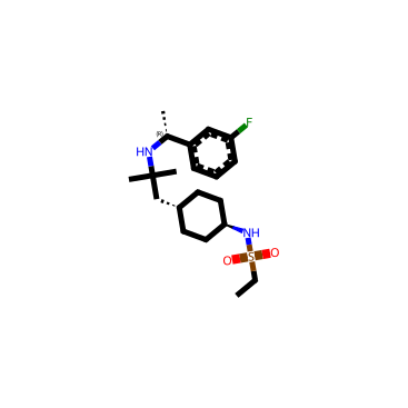 CCS(=O)(=O)N[C@H]1CC[C@H](CC(C)(C)N[C@H](C)c2cccc(F)c2)CC1